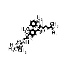 Cc1ccccc1N(NC(=O)CCC(C)C)C(=O)c1cc(C)c(OCCNC(=O)OC(C)(C)C)c(Cl)c1